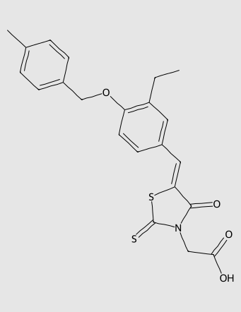 CCc1cc(/C=C2\SC(=S)N(CC(=O)O)C2=O)ccc1OCc1ccc(C)cc1